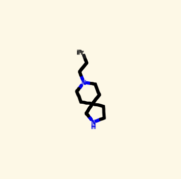 CC(C)CCN1CCC2(CCNC2)CC1